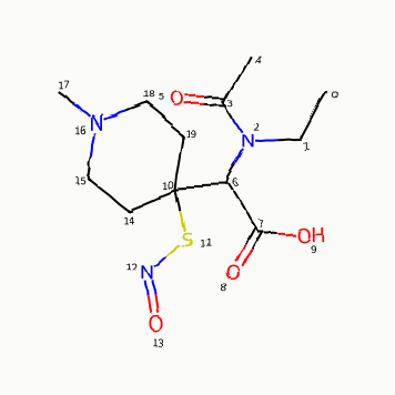 CCN(C(C)=O)C(C(=O)O)C1(SN=O)CCN(C)CC1